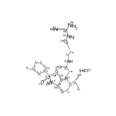 Cc1cccc(S(=O)(=O)Nc2ccc(C(C)C)n(CC(=O)NCCONC(=N)N)c2=O)c1.Cl